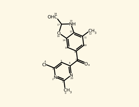 Cc1nc(Cl)cc(C(=O)c2cc(C)c3c(c2)OC(C=O)N3)n1